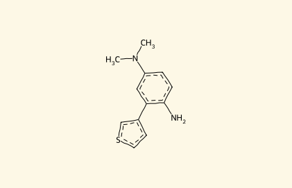 CN(C)c1ccc(N)c(-c2ccsc2)c1